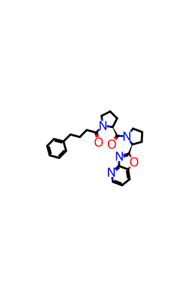 O=C(CCCc1ccccc1)N1CCC[C@H]1C(=O)N1CCC[C@H]1c1nc2ncccc2o1